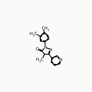 Cc1ccc(N2N=C(c3cccnc3)C(C)C2=O)cc1C